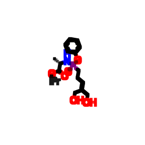 CC(C)OC(=O)[C@H](C)NP(=O)(CCC=C(CO)CO)Oc1ccccc1